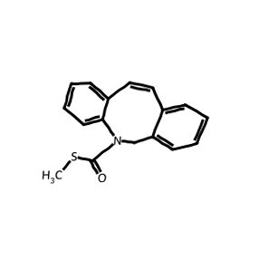 CSC(=O)N1Cc2ccccc2/C=C\c2ccccc21